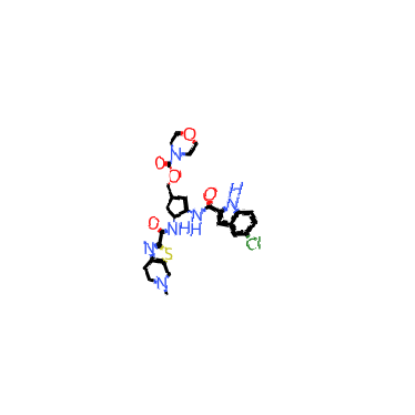 CN1CCc2nc(C(=O)N[C@@H]3CC(COC(=O)N4CCOCC4)C[C@H]3NC(=O)c3cc4cc(Cl)ccc4[nH]3)sc2C1